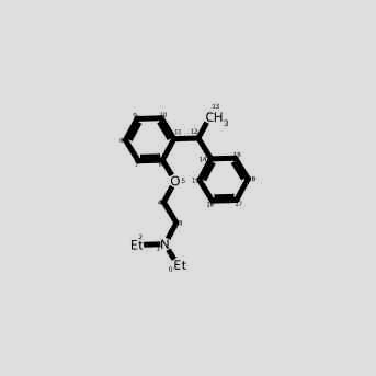 CCN(CC)CCOc1ccccc1C(C)c1ccccc1